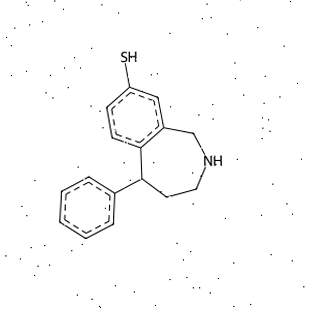 Sc1ccc2c(c1)CNCCC2c1ccccc1